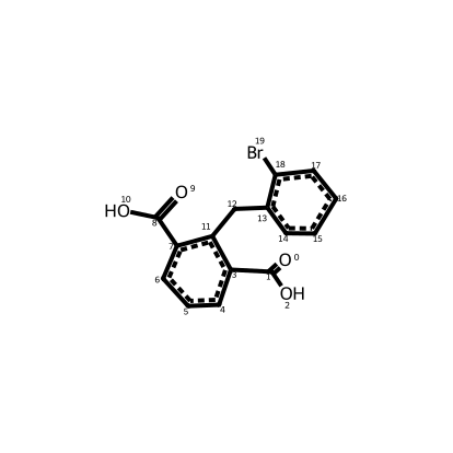 O=C(O)c1cccc(C(=O)O)c1Cc1ccccc1Br